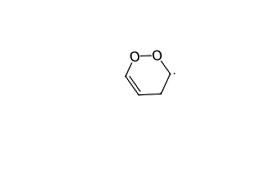 [CH]1CC=COO1